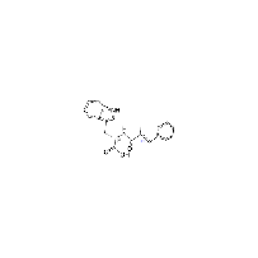 C/C(=C\c1ccccc1)C(=O)N[C@@H](Cc1c[nH]c2ccccc12)C(=O)O